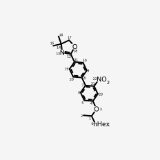 CCCCCCC(C)Oc1ccc(-c2ccc(C3=NC(C)(C)CO3)cc2)c([N+](=O)[O-])c1